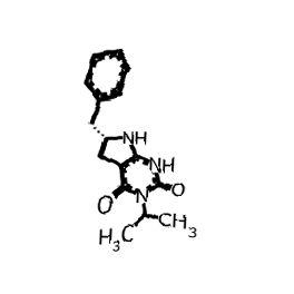 CC(C)n1c(=O)[nH]c2c(c1=O)C[C@H](Cc1ccccc1)N2